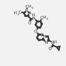 Cc1ccc(Oc2ccc3nc(NC(=O)C4CC4)cn3n2)cc1NC(=O)c1cc(C)n(C)n1